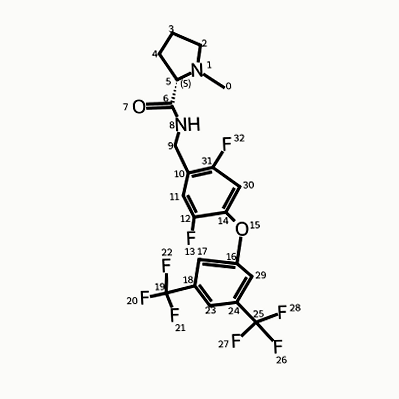 CN1CCC[C@H]1C(=O)NCc1cc(F)c(Oc2cc(C(F)(F)F)cc(C(F)(F)F)c2)cc1F